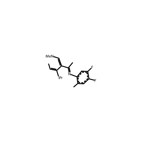 C\C=C(C(=C\NC)/C(C)=N/c1cc(F)c(F)cc1C)\C(C)C